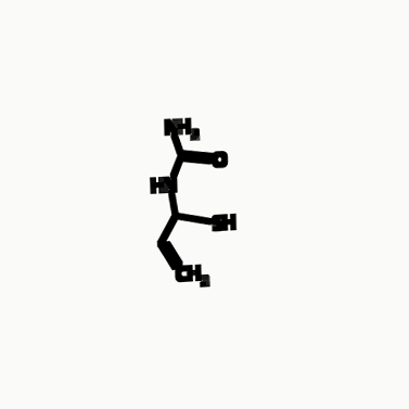 C=CC(S)NC(N)=O